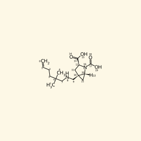 C=CCCC(C)(C)CNC[C@@]12C[C@@H](C(=O)O)N(C(=O)O)[C@@H]1C2